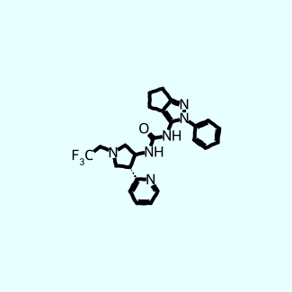 O=C(Nc1c2c(nn1-c1ccccc1)CCC2)NC1CN(CC(F)(F)F)C[C@H]1c1ccccn1